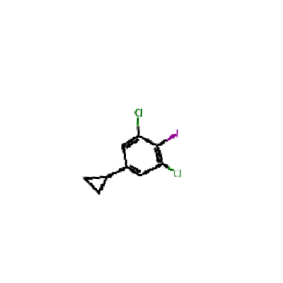 Clc1cc([C]2CC2)cc(Cl)c1I